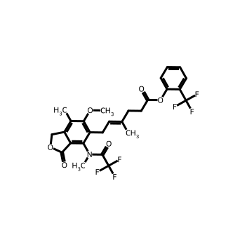 COc1c(C)c2c(c(N(C)C(=O)C(F)(F)F)c1C/C=C(\C)CCC(=O)Oc1ccccc1C(F)(F)F)C(=O)OC2